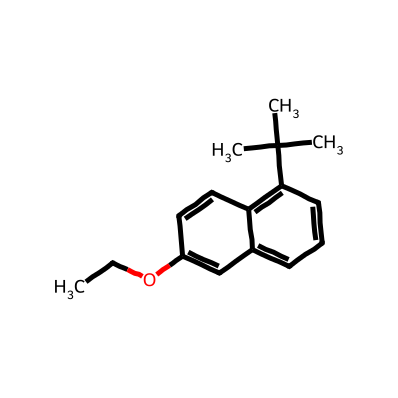 CCOc1ccc2c(C(C)(C)C)cccc2c1